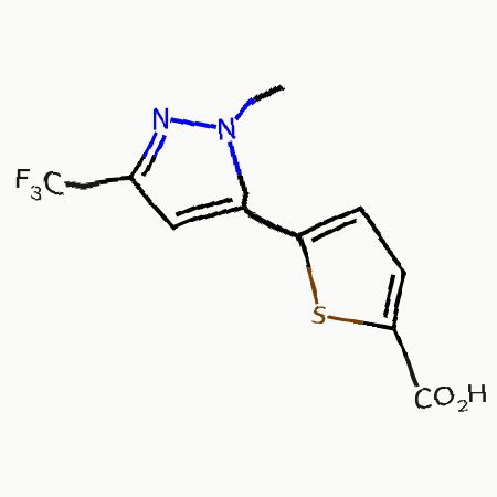 Cn1nc(C(F)(F)F)cc1-c1ccc(C(=O)O)s1